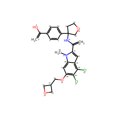 C=C(O)c1ccc(C2(NC(=C)c3cc4c(Cl)c(Cl)c(OCC5COC5)cc4n3C)CCOC2)cc1